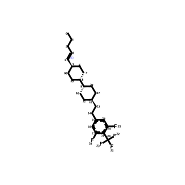 CCC/C=C/[C@H]1CC[C@H]([C@H]2CC[C@H](CCc3cc(F)c(C(F)(F)F)c(F)c3)CC2)CC1